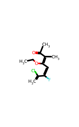 C=C(Cl)/C(F)=C\C(OCC)=C(/C)C(C)=O